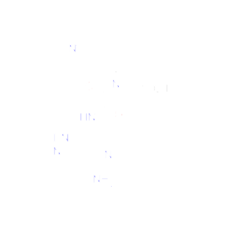 C[C@H]1CC[C@@H](C2C=CN=CC2)N(C(=O)C(=O)Nc2cnc(N)c3cn[nH]c23)C1